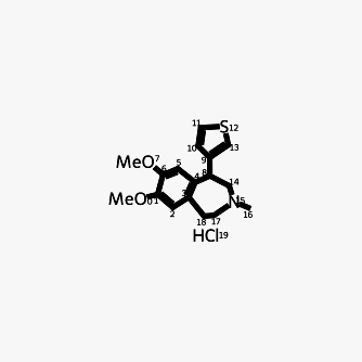 COc1cc2c(cc1OC)C(c1ccsc1)CN(C)CC2.Cl